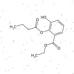 CCCC(=O)Oc1c(O)cccc1C(=O)OCC